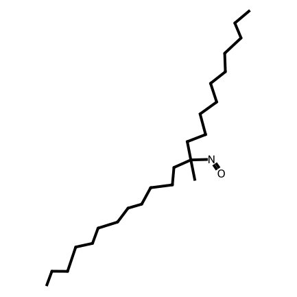 CCCCCCCCCCCCC(C)(CCCCCCCCCC)N=O